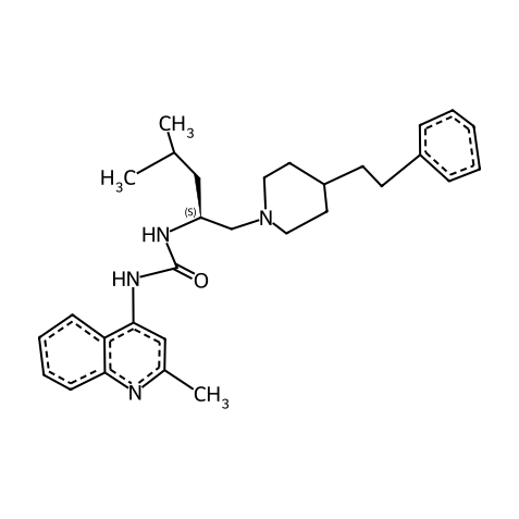 Cc1cc(NC(=O)N[C@@H](CC(C)C)CN2CCC(CCc3ccccc3)CC2)c2ccccc2n1